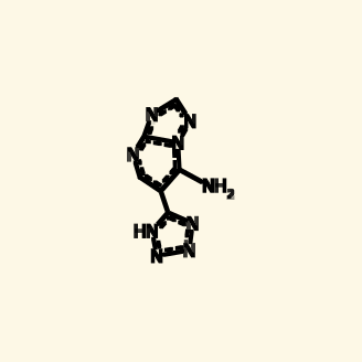 Nc1c(-c2nnn[nH]2)cnc2ncnn12